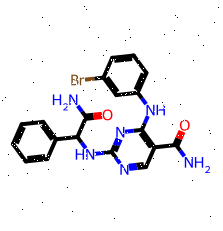 NC(=O)c1cnc(NC(C(N)=O)c2ccccc2)nc1Nc1cccc(Br)c1